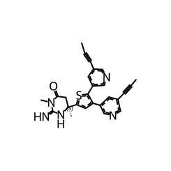 CC#Cc1cncc(-c2cc([C@]3(C)CC(=O)N(C)C(=N)N3)sc2-c2cncc(C#CC)c2)c1